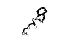 CCOCC(=O)On1ncc2ccccc21